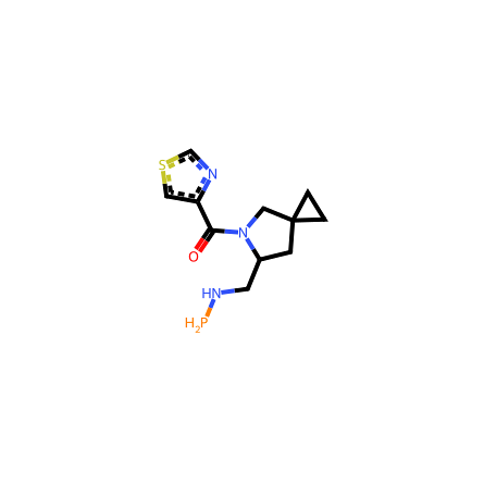 O=C(c1cscn1)N1CC2(CC2)CC1CNP